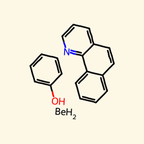 Oc1ccccc1.[BeH2].c1ccc2c(c1)ccc1cccnc12